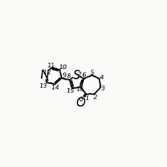 O=C1CCCCc2sc(-c3ccncc3)cc21